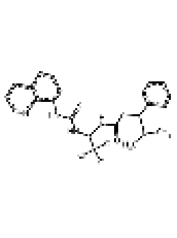 CN(C)C(CC(=O)NC(NC(=S)Nc1cccc2cccnc12)C(Cl)(Cl)Cl)c1ccccc1